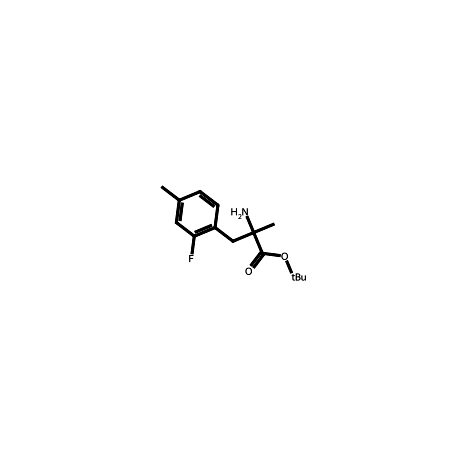 Cc1ccc(CC(C)(N)C(=O)OC(C)(C)C)c(F)c1